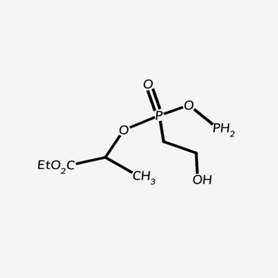 CCOC(=O)C(C)OP(=O)(CCO)OP